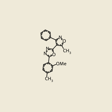 COc1cc(C)ccc1-c1nnc(-c2c(-c3ccccc3)noc2C)o1